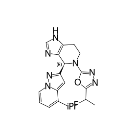 CC(C)c1cccn2nc([C@H]3c4nc[nH]c4CCN3c3nnc(C(C)F)o3)cc12